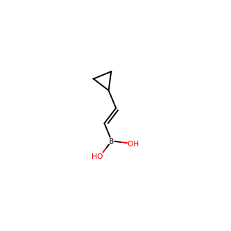 OB(O)C=CC1CC1